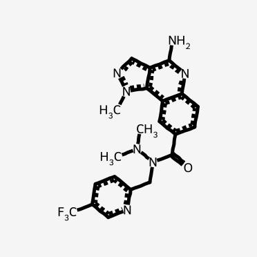 CN(C)N(Cc1ccc(C(F)(F)F)cn1)C(=O)c1ccc2nc(N)c3cnn(C)c3c2c1